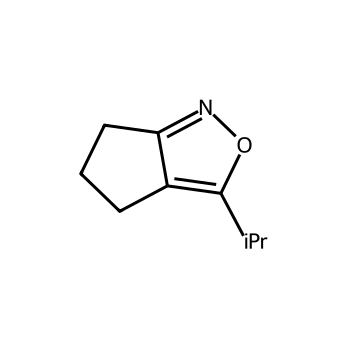 CC(C)c1onc2c1CCC2